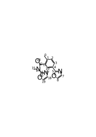 Cc1ccc(-c2ncco2)cc1C(=O)N(C)c1ncco1